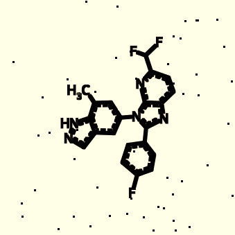 Cc1cc(-n2c(-c3ccc(F)cc3)nc3ccc(C(F)F)nc32)cc2cn[nH]c12